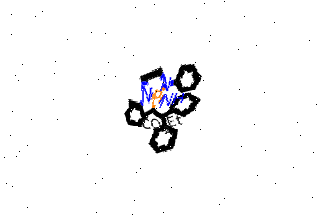 CCOC(=O)CC(=C(c1ccccc1)c1ccccc1)P1(=N)N(c2ccccc2)CCN1c1ccccc1